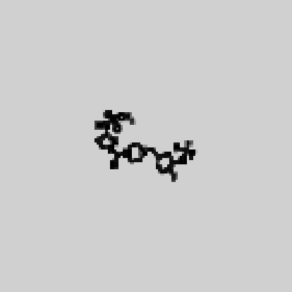 CS(=O)(=O)Nc1ccn(C(=O)N2CCN(Cc3ccc(F)c(OC(F)(F)F)c3)CC2)n1